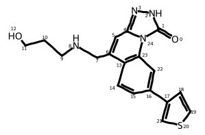 O=c1[nH]nc2cc(CNCCCO)c3ccc(-c4ccsc4)cc3n12